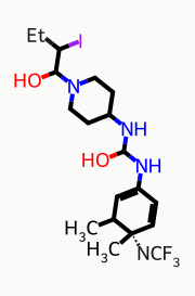 CCC(I)C(O)N1CCC(NC(O)NC2=CC(C)[C@@](C)(NC(F)(F)F)C=C2)CC1